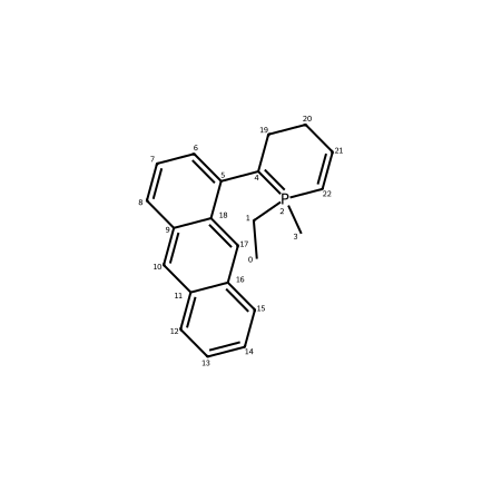 CCP1(C)=C(c2cccc3cc4ccccc4cc23)CCC=C1